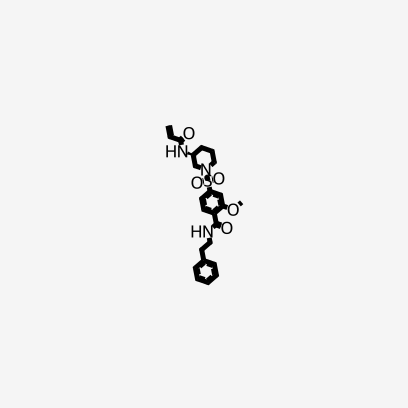 C=CC(=O)N[C@H]1CCCN(S(=O)(=O)c2ccc(C(=O)NCCc3ccccc3)c(OC)c2)C1